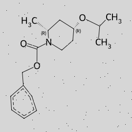 CC(C)O[C@@H]1CCN(C(=O)OCc2ccccc2)[C@H](C)C1